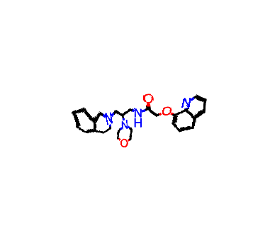 O=C(COc1cccc2cccnc12)NCC(CN1CCc2ccccc2C1)N1CCOCC1